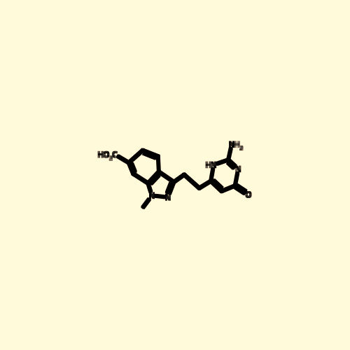 Cn1nc(CCc2cc(=O)nc(N)[nH]2)c2ccc(C(=O)O)cc21